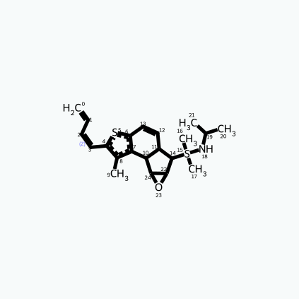 C=C/C=C\c1sc2c(c1C)C1C(C=C2)C(S(C)(C)NC(C)C)C2OC21